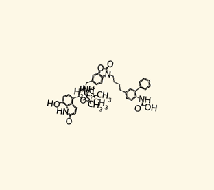 CC(C)(C)[Si](C)(C)OC(CNCc1ccc2c(c1)oc(=O)n2CCCCc1ccc(NC(=O)O)c(-c2ccccc2)c1)c1ccc(O)c2[nH]c(=O)ccc12